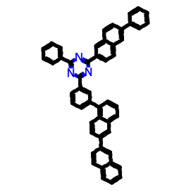 c1ccc(-c2ccc3cc(-c4nc(-c5ccccc5)nc(-c5cccc(-c6cccc7cc(-c8ccc9ccccc9c8)ccc67)c5)n4)ccc3c2)cc1